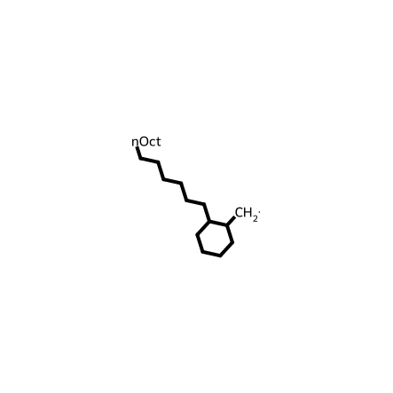 [CH2]C1CCCCC1CCCCCCCCCCCCCC